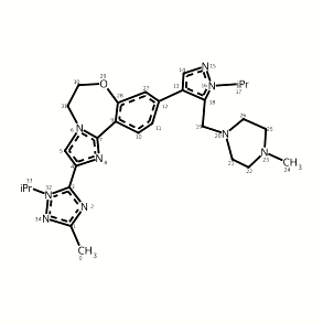 Cc1nc(-c2cn3c(n2)-c2ccc(-c4cnn(C(C)C)c4CN4CCN(C)CC4)cc2OCC3)n(C(C)C)n1